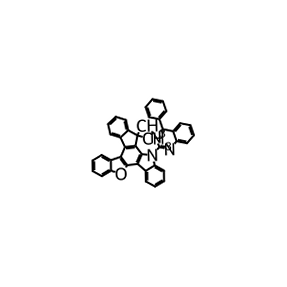 CC1(C)c2ccccc2-c2c1c1c(c3ccccc3n1-c1nc(-c3ccccc3)c3ccccc3n1)c1oc3ccccc3c21